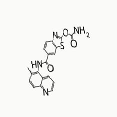 Cc1ccc2ncccc2c1NC(=O)c1ccc2nc(OC(N)=O)sc2c1